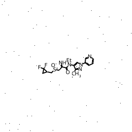 CCN(C(=O)C(=N)C[S+]([O-])CC1CC1(F)F)c1cn(-c2cccnc2)nc1C